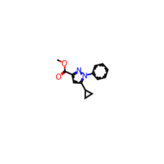 COC(=O)c1cc(C2CC2)n(-c2ccccc2)n1